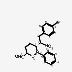 O=C[C@H]1CC[C@H](C(Cc2ccc(Br)cc2)[N+](=O)[O-])N(c2ccccc2)O1